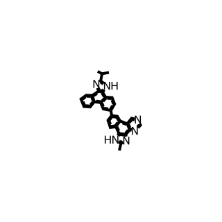 Cc1nc2c3ncncc3c3cc(-c4ccc5c(c4)c4ccccc4c4nc(C(C)C)[nH]c54)ccc3c2[nH]1